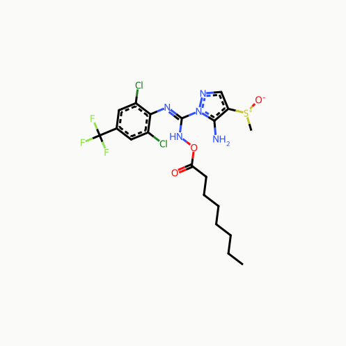 CCCCCCCC(=O)ONC(=Nc1c(Cl)cc(C(F)(F)F)cc1Cl)n1ncc([S+](C)[O-])c1N